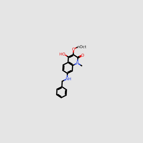 CCCCCCCCOc1c(O)c2ccc(NCc3ccccc3)cc2n(C)c1=O